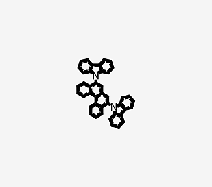 c1ccc2c(c1)c(-n1c3ccccc3c3ccccc31)cc1cc(-n3c4ccccc4c4ccccc43)c3ccccc3c12